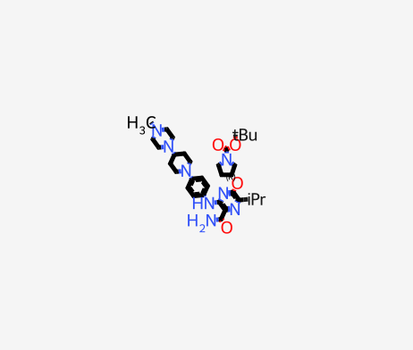 CC(C)c1nc(C(N)=O)c(Nc2ccc(N3CCC(N4CCN(C)CC4)CC3)cc2)nc1O[C@@H]1CCN(C(=O)OC(C)(C)C)C1